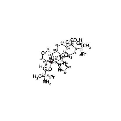 CC(C)[C@@H](C)[C@@]1(C)CC[C@]2(C)[C@H]3CC[C@@H]4[C@@]5(COC[C@]4(C)[C@@H](OC[C@](C)(N)C(C)C)[C@H](n4nccn4)C5)C3=CC[C@@]2(C)[C@@H]1C(=O)O